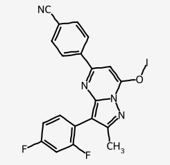 Cc1nn2c(OI)cc(-c3ccc(C#N)cc3)nc2c1-c1ccc(F)cc1F